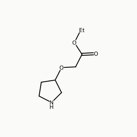 CCOC(=O)COC1CCNC1